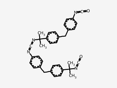 CC(C)(N=C=O)c1ccc(Cc2ccc(N=C=NC(C)(C)c3ccc(Cc4ccc(N=C=O)cc4)cc3)cc2)cc1